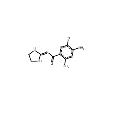 Nc1nc(N)c(C(=O)N=C2NCCN2)nc1Cl